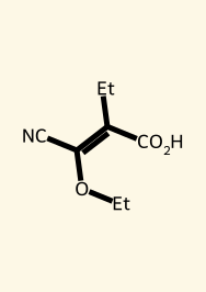 CCOC(C#N)=C(CC)C(=O)O